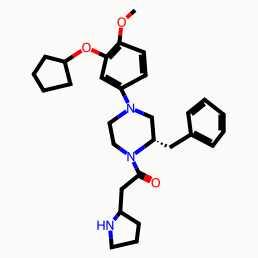 COc1ccc(N2CCN(C(=O)CC3CCCN3)[C@@H](Cc3ccccc3)C2)cc1OC1CCCC1